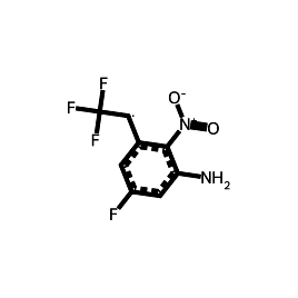 Nc1cc(F)cc([CH]C(F)(F)F)c1[N+](=O)[O-]